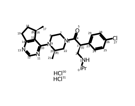 CC(C)NC[C@@H](C(=O)N1CCN(c2ncnc3c2[C@H](C)CC3)[C@H](C)C1)c1ccc(Cl)cc1.Cl.Cl